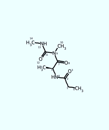 CCC(=O)N[C@@H](C)C(=O)N(C)C(=O)NC